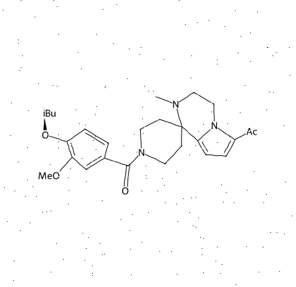 CC[C@H](C)Oc1ccc(C(=O)N2CCC3(CC2)c2ccc(C(C)=O)n2CCN3C)cc1OC